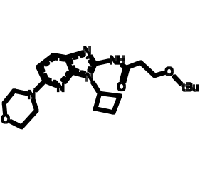 CC(C)(C)OCCC(=O)Nc1nc2ccc(N3CCOCC3)nc2n1C1CCC1